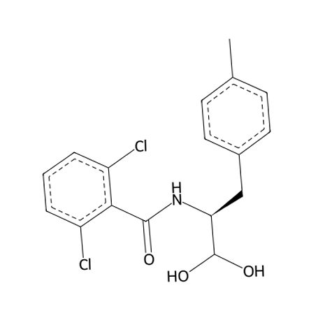 Cc1ccc(C[C@H](NC(=O)c2c(Cl)cccc2Cl)C(O)O)cc1